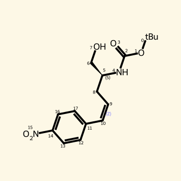 CC(C)(C)OC(=O)N[C@H](CO)C/C=C\c1ccc([N+](=O)[O-])cc1